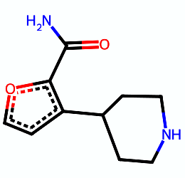 NC(=O)c1occc1C1CCNCC1